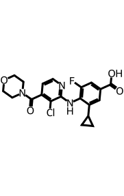 O=C(O)c1cc(F)c(Nc2nccc(C(=O)N3CCOCC3)c2Cl)c(C2CC2)c1